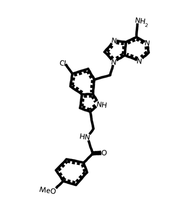 COc1ccc(C(=O)NCc2cc3cc(Cl)cc(Cn4cnc5c(N)ncnc54)c3[nH]2)cc1